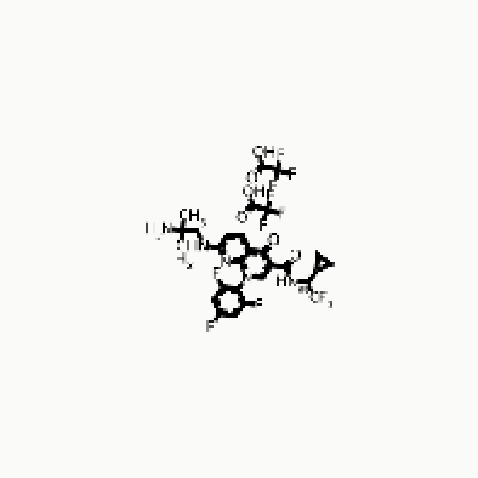 CC(C)(N)CNc1ccc2c(=O)c(C(=O)N[C@@H](C3CC3)C(F)(F)F)cn(-c3c(F)cc(F)cc3F)c2n1.O=C(O)C(F)(F)F.O=C(O)C(F)(F)F